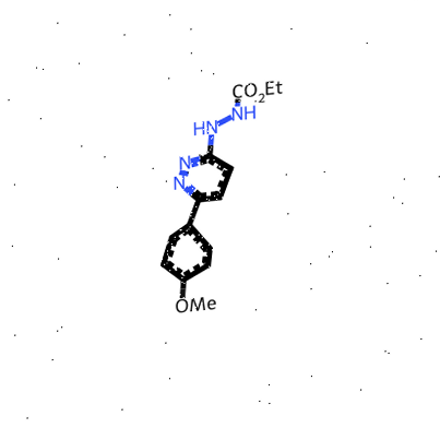 CCOC(=O)NNc1ccc(-c2ccc(OC)cc2)nn1